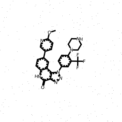 COc1ccc(-c2ccc3[nH]c(=O)c4nnn(-c5ccc(N6CCNCC6)c(C(F)(F)F)c5)c4c3c2)cn1